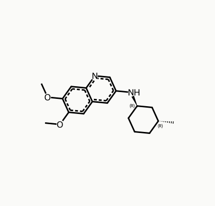 COc1cc2cc(N[C@@H]3CCC[C@@H](C)C3)cnc2cc1OC